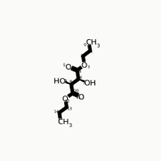 CCCOC(=O)[C@@H](O)[C@H](O)C(=O)OCCC